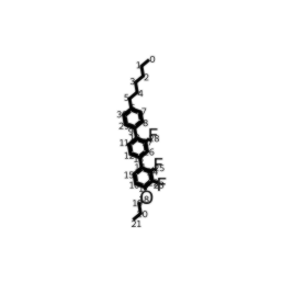 CCCCCCc1ccc(-c2ccc(-c3ccc(OCCC)c(F)c3F)cc2F)cc1